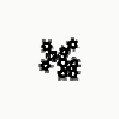 c1ccc(-c2ccc3c(c2)c2cc4c(cc2n3-c2nc(-c3ccccc3)nc(-c3ccccc3)n2)-c2ccccc2C4(c2ccccc2)c2ccccc2)cc1